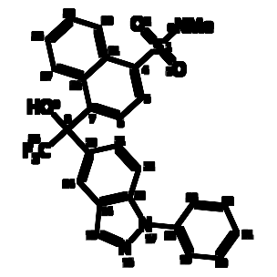 CNS(=O)(=O)c1ccc(C(O)(c2ccc3c(cnn3-c3ccccc3)c2)C(F)(F)F)c2ccccc12